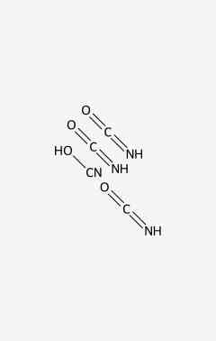 N#CO.N=C=O.N=C=O.N=C=O